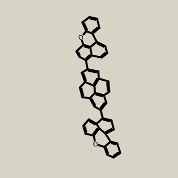 c1ccc2c(c1)Oc1ccc(-c3cc4ccc5cc(-c6ccc7c8c(cccc68)Oc6ccccc6-7)cc6ccc(c3)c4c56)c3cccc-2c13